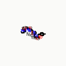 CCC(C)C(C(CC(=O)N1CCCC1C(OC)C(C)C(=O)NC(Cc1ccc(C)cc1)C(=O)OC)OC)N(C)C(=O)C(NC(=O)C1(C)CCCN1C)C(C)C